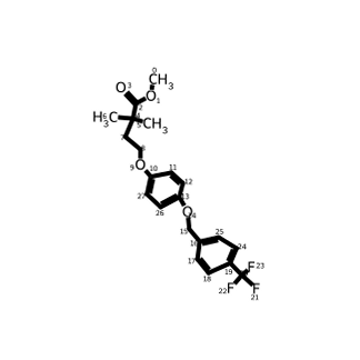 COC(=O)C(C)(C)CCOc1ccc(OCc2ccc(C(F)(F)F)cc2)cc1